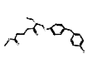 CC[C@H](COc1ccc(Cc2ccc(Cl)cc2)cc1)C(=N)CCCC(=O)OC